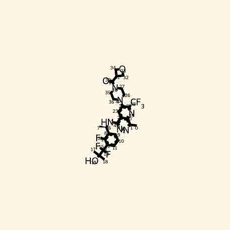 Cc1nnc(N[C@H](C)c2cccc(C(F)(F)C(C)(C)O)c2F)c2cc(N3CCN(C(=O)C4COC4)CC3)c(C(F)(F)F)nc12